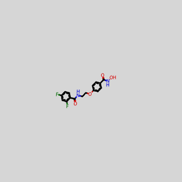 O=C(NO)c1ccc(OCCNC(=O)c2ccc(F)cc2F)cc1